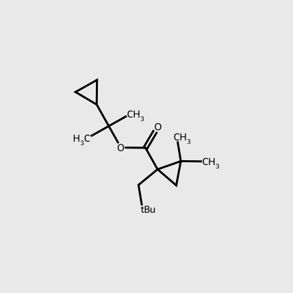 CC(C)(C)CC1(C(=O)OC(C)(C)C2CC2)CC1(C)C